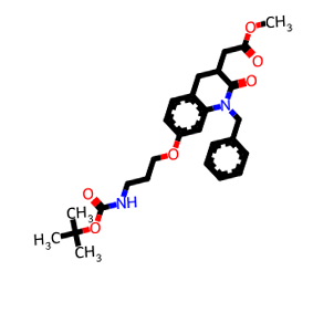 COC(=O)CC1Cc2ccc(OCCCNC(=O)OC(C)(C)C)cc2N(Cc2ccccc2)C1=O